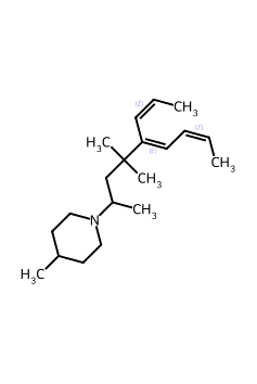 C\C=C/C=C(\C=C/C)C(C)(C)CC(C)N1CCC(C)CC1